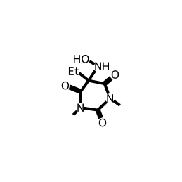 CCC1(NO)C(=O)N(C)C(=O)N(C)C1=O